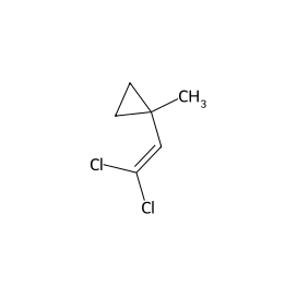 CC1(C=C(Cl)Cl)CC1